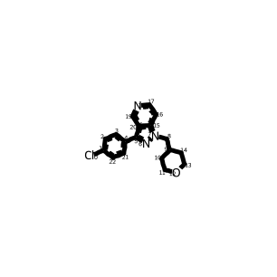 Clc1ccc(-c2nn(CC3CCOCC3)c3ccncc23)cc1